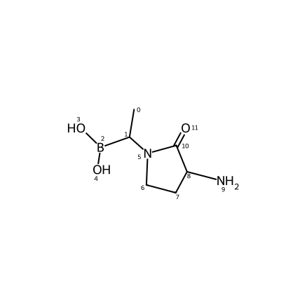 CC(B(O)O)N1CCC(N)C1=O